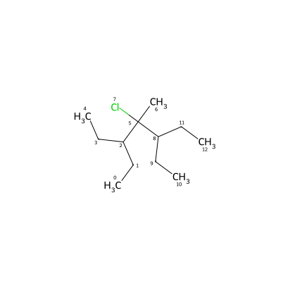 CCC(CC)C(C)(Cl)C(CC)CC